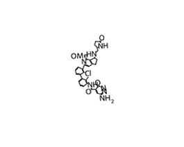 COc1nc(-c2cccc(-c3cccc(NC(=O)c4cc(N)nn(C)c4=O)c3C)c2Cl)cc2c1C(NCC1CCC(=O)N1)CC2